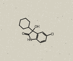 O=C1Nc2ccc(Cl)cc2C1(O)C1CCCCC1